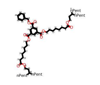 CCCCCC(CCCCC)CCOC(=O)CCCCCCCOC(=O)c1cc(C(=O)OCCCCCCCC(=O)OCCC(CCCCC)CCCCC)cc(C(=O)OCc2ccccc2)c1